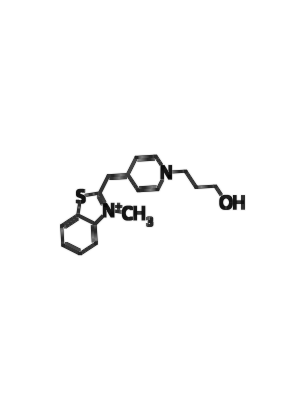 C[n+]1c(C=C2C=CN(CCCO)C=C2)sc2ccccc21